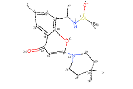 Cc1cc(C(C)N[S+]([O-])C(C)(C)C)c2oc(N3CCC(C)(C)CC3)cc(=O)c2c1